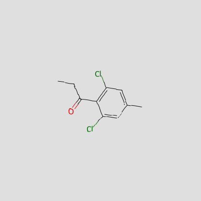 CCC(=O)c1c(Cl)cc(C)cc1Cl